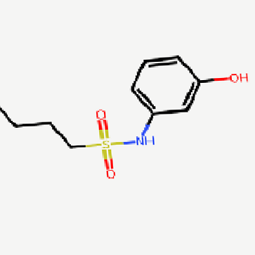 CCCCS(=O)(=O)Nc1cccc(O)c1